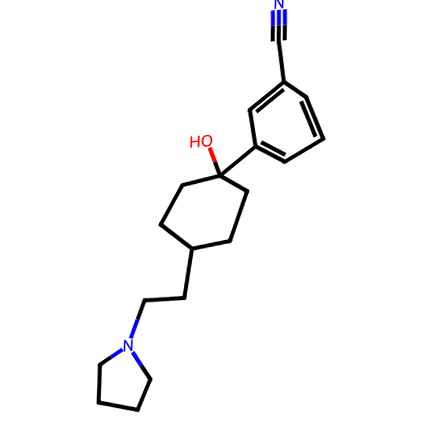 N#Cc1cccc(C2(O)CCC(CCN3CCCC3)CC2)c1